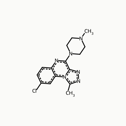 Cc1nnc2c(N3CCN(C)CC3)nc3ccc(Cl)cc3n12